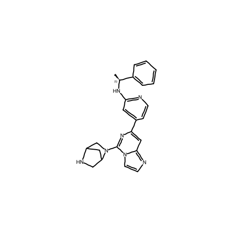 C[C@H](Nc1cc(-c2cc3nccn3c(N3CC4CC3CN4)n2)ccn1)c1ccccc1